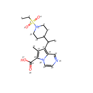 CCS(=O)(=O)N1CCC(C(C)c2c(C)c(C(=O)O)n3ccncc23)CC1